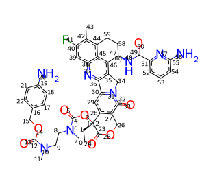 CC[C@]1(OC(=O)N(C)CCN(C)C(=O)OCc2ccc(N)cc2)C(=O)OCc2c1cc1n(c2=O)Cc2c-1nc1cc(F)c(C)c3c1c2[C@H](NC(=O)c1cccc(N)n1)CC3